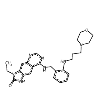 CCn1c(=O)[nH]c2cc3c(NCc4ccccc4NCCCN4CCOCC4)ncnc3cc21